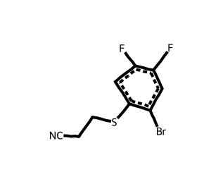 N#CCCSc1cc(F)c(F)cc1Br